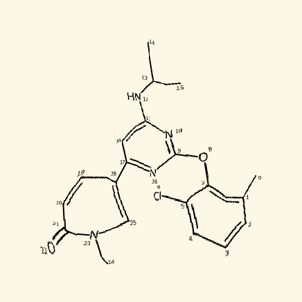 Cc1cccc(Cl)c1Oc1nc(NC(C)C)cc(-c2ccc(=O)n(C)c2)n1